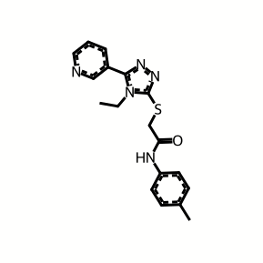 CCn1c(SCC(=O)Nc2ccc(C)cc2)nnc1-c1cccnc1